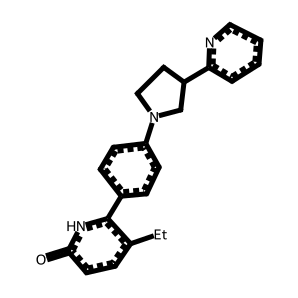 CCc1ccc(=O)[nH]c1-c1ccc(N2CCC(c3ccccn3)C2)cc1